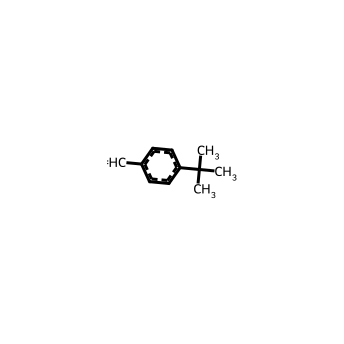 [CH]c1ccc(C(C)(C)C)cc1